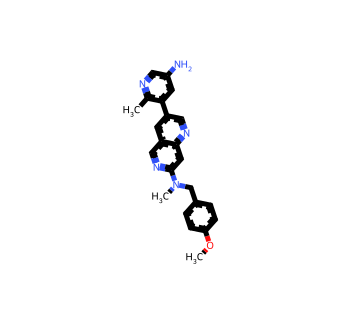 COc1ccc(CN(C)c2cc3ncc(-c4cc(N)cnc4C)cc3cn2)cc1